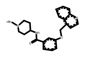 CCCCN1CCC(NC(=O)c2cccc(OCc3ccnc4ccccc34)c2)CC1